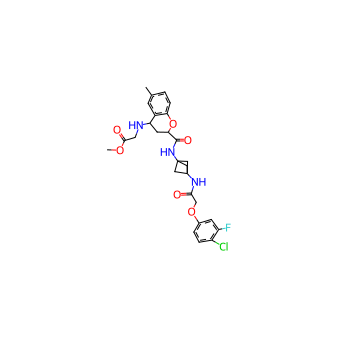 COC(=O)CNC1CC(C(=O)NC23CC(NC(=O)COc4ccc(Cl)c(F)c4)(C2)C3)Oc2ccc(C)cc21